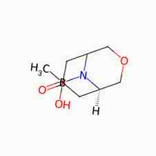 CB(O)N1C2COC[C@H]1CC(=O)C2